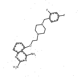 Nc1nc(N)c2c(OCCN3CCN(Cc4ccc(F)cc4F)CC3)cccc2n1